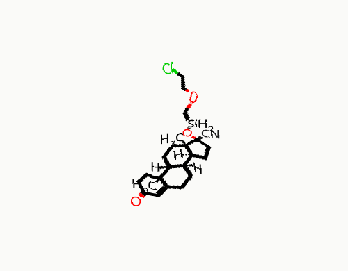 C[C@]12CCC(=O)C=C1CC[C@@H]1[C@H]2CC[C@@]2(C)[C@H]1CCC2(C#N)O[SiH2]COCCCl